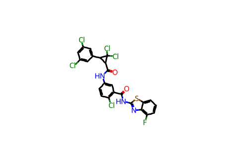 O=C(Nc1nc2c(F)cccc2s1)c1cc(NC(=O)C2C(c3cc(Cl)cc(Cl)c3)C2(Cl)Cl)ccc1Cl